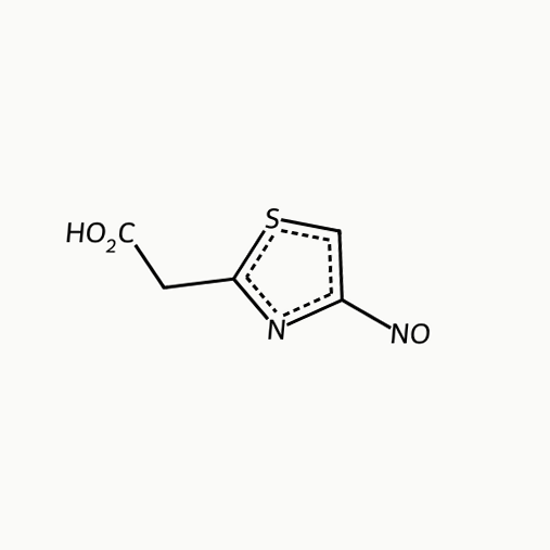 O=Nc1csc(CC(=O)O)n1